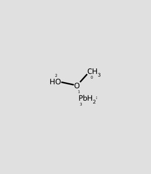 COO.[PbH2]